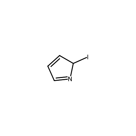 IC1C=CC=N1